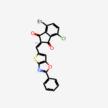 CCc1ccc(Cl)c2c1C(=O)/C(=C/c1cc3oc(-c4ccccc4)nc3s1)C2=O